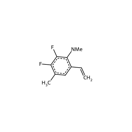 C=Cc1cc(C)c(F)c(F)c1NC